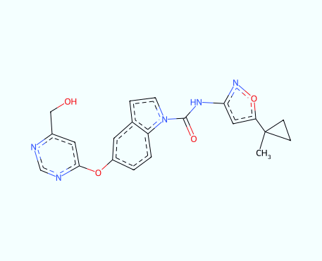 CC1(c2cc(NC(=O)n3ccc4cc(Oc5cc(CO)ncn5)ccc43)no2)CC1